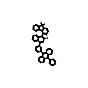 CC1(C)c2ccccc2-c2c1ccc1sc3cc(-c4cccc(-c5c6ccccc6c(-c6ccccc6)c6ccccc56)c4)c4ccccc4c3c21